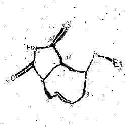 CCOC1CC=CC2C(=O)NC(=O)C12